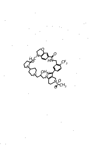 CN1CCOc2cc(C(=O)NCc3cc(-c4nn(CC(O)CN5CCC(N6CCCC6=O)CC5)c5c4CN(S(C)(=O)=O)CC5)ccc3C(F)(F)F)ccc21